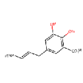 CCCCCC/C=C/Cc1cc(O)c(O)c(C(=O)O)c1